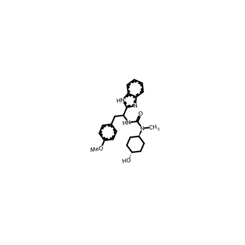 COc1ccc(CC(NC(=O)N(C)[C@H]2CC[C@H](O)CC2)c2nc3ccccc3[nH]2)cc1